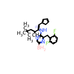 Bc1cnc(N/C(=C\C2=CC=CC2)C(=C)CC(C)(C)C)c(Cc2c(F)cccc2F)n1